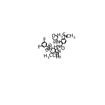 CN(C)c1ccc(C(=O)Nc2n[nH]c3c2CN(S(=O)(=O)c2cc(F)cc(F)c2)CC3(C)C)c(NC2CCOCC2)c1